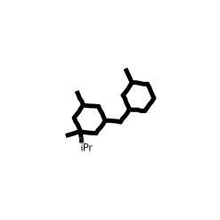 CC1CCCC(CC2CC(C)CC(C)(C(C)C)C2)C1